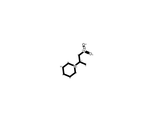 CC(C[SH](=O)=O)N1CC[CH]CC1